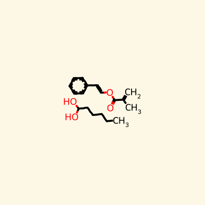 C=C(C)C(=O)OC=Cc1ccccc1.CCCCCC(O)O